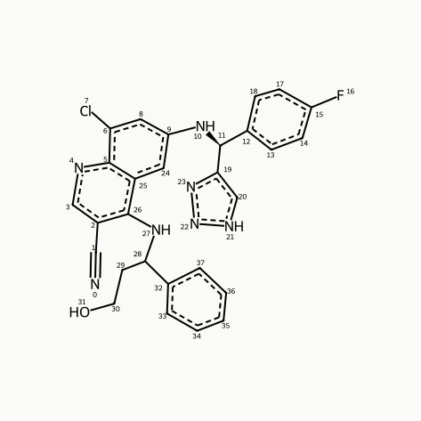 N#Cc1cnc2c(Cl)cc(N[C@@H](c3ccc(F)cc3)c3c[nH]nn3)cc2c1NC(CCO)c1ccccc1